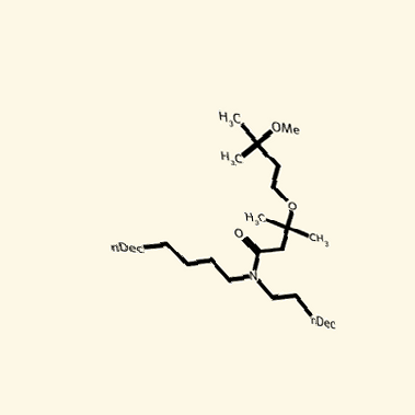 CCCCCCCCCCCCCCN(CCCCCCCCCCCC)C(=O)CC(C)(C)OCCC(C)(C)OC